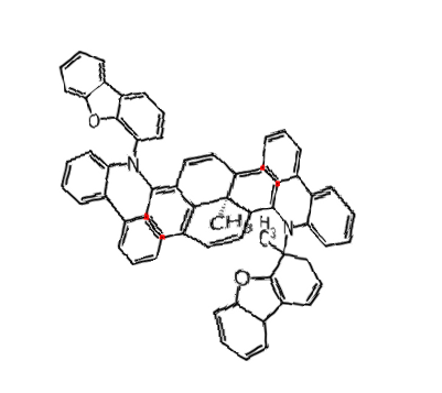 CC1(N(C2=CC=C3C=Cc4c(N(c5ccccc5-c5ccccc5)c5cccc6c5oc5ccccc56)ccc5c4[C@]3(C)C2C=C5)c2ccccc2-c2ccccc2)CC=CC2=C1OC1C=CC=CC21